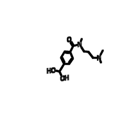 CN(C)CCCN(C)C(=O)c1ccc(C(O)O)cc1